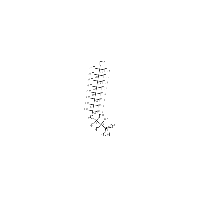 O=C(O)C(F)(F)C(F)(F)OC(F)(F)C(F)(F)C(F)(F)C(F)(F)C(F)(F)C(F)(F)C(F)(F)C(F)(F)F